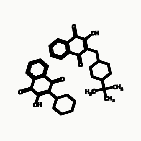 CC(C)(C)C1CCC(CC2=C(O)C(=O)c3ccccc3C2=O)CC1.O=C1C(O)=C(C2CCCCC2)C(=O)c2ccccc21